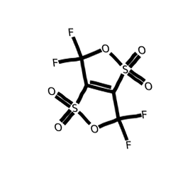 O=S1(=O)OC(F)(F)C2=C1C(F)(F)OS2(=O)=O